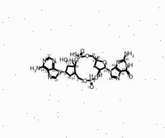 C[C@@]12CO[PH](=O)O[C@@H]3C[C@@H](COP(=O)(S)O[C@H]1[C@@H](O)[C@H](n1cnc4c(N)ncnc41)C2)O[C@H]3n1cnc2c(=O)[nH]c(N)nc21